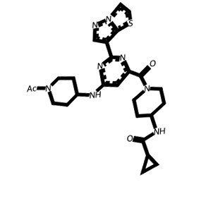 CC(=O)N1CCC(Nc2cc(C(=O)N3CCC(NC(=O)C4CC4)CC3)nc(-c3cnn4ccsc34)n2)CC1